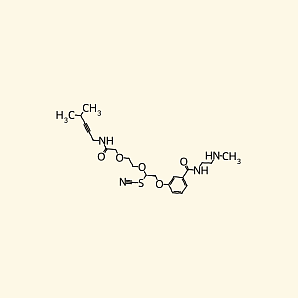 CNCCNC(=O)c1cccc(OC[C@H](OCCOCC(=O)NCC#CC(C)C)SC#N)c1